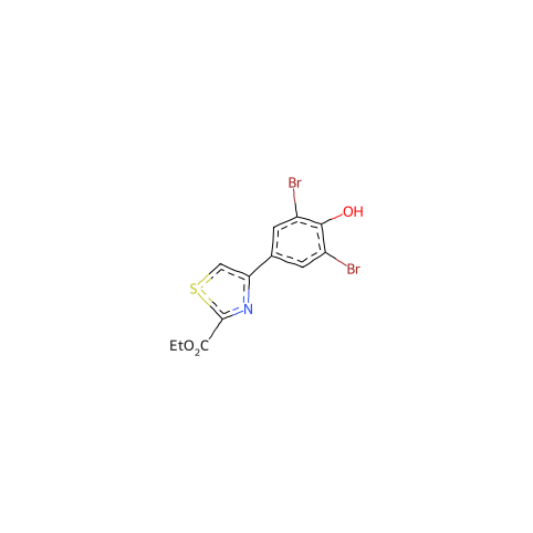 CCOC(=O)c1nc(-c2cc(Br)c(O)c(Br)c2)cs1